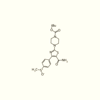 C[S+]([O-])c1ccc(-c2nc(N3CCN(C(=O)OC(C)(C)C)CC3)sc2C(N)=O)cc1